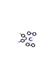 N#Cc1ccc(-c2nc3c(-n4c5ccccc5c5ccccc54)cnc(-n4c5ccccc5c5ccccc54)c3nc2-c2ccc(C#N)cc2)cc1